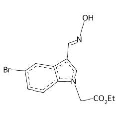 CCOC(=O)Cn1cc(/C=N/O)c2cc(Br)ccc21